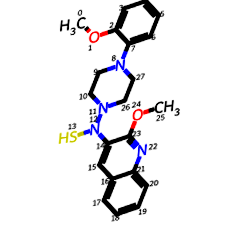 COc1ccccc1N1CCN(N(S)c2cc3ccccc3nc2OC)CC1